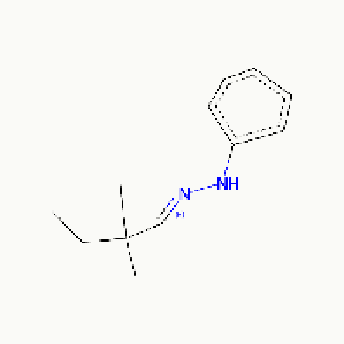 CCC(C)(C)/C=N/Nc1ccccc1